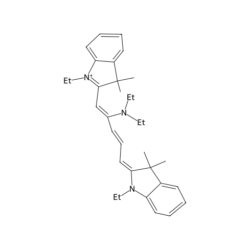 CCN(CC)C(=C\C1=[N+](CC)c2ccccc2C1(C)C)/C=C/C=C1/N(CC)c2ccccc2C1(C)C